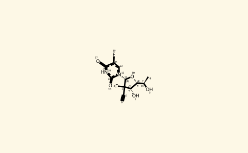 C#CC1(F)[C@@H](O)[C@@H]([C@@H](C)O)O[C@H]1n1cc(F)c(=O)[nH]c1=O